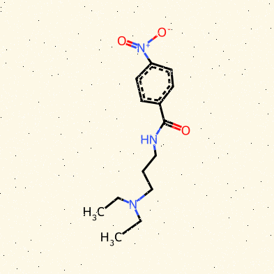 CCN(CC)CCCNC(=O)c1ccc([N+](=O)[O-])cc1